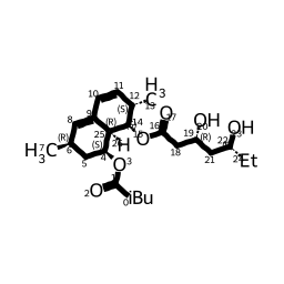 CCC(C)C(=O)O[C@H]1C[C@@H](C)C=C2C=C[C@H](C)[C@H](OC(=O)C[C@H](O)C[C@H](O)CC)[C@H]21